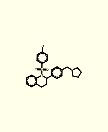 O=S(=O)(c1ccc(Cl)cc1)N1c2ccccc2CCC1c1ccc(CN2CCCC2)cc1